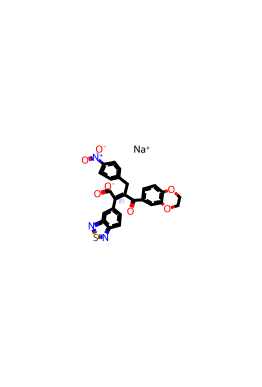 O=C([O-])/C(=C(\Cc1ccc([N+](=O)[O-])cc1)C(=O)c1ccc2c(c1)OCCO2)c1ccc2nsnc2c1.[Na+]